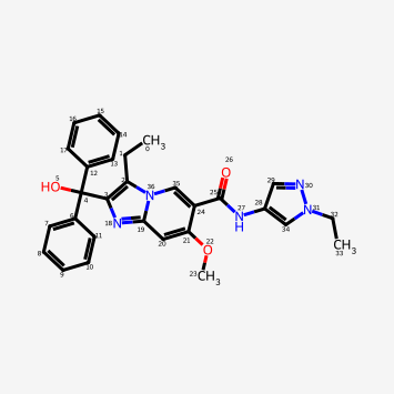 CCc1c(C(O)(c2ccccc2)c2ccccc2)nc2cc(OC)c(C(=O)Nc3cnn(CC)c3)cn12